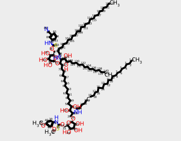 CCCCCCCCCCCCCCCCCCCCCCCCCCNC(CO[C@H]1O[C@H](COC(=S)Nc2ccc(OC)cc2OC)[C@H](O)[C@H](O)[C@H]1O)C(O)C(O)CCCCCCCCCCCCCCC(O[C@H]1O[C@H](COC(=S)Nc2cccc(C#N)c2)[C@H](O)[C@H](O)[C@H]1O)[C@@H](NCCCCCCCCCCCCCCCCCCCCCCCCCC)[C@H](O)[C@H](O)CCCCCCCCCCCCCC